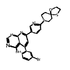 Nc1ncnc2nc(-c3ccc(N4CCC5(CC4)OCCS5)nc3)cc(-c3cccc(Br)c3)c12